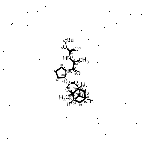 C[C@H](NC(=O)OC(C)(C)C)C(=O)N1CCC[C@H]1B1O[C@@H]2C[C@@H]3C[C@@H](C3(C)C)[C@]2(C)O1